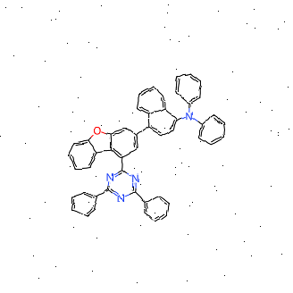 c1ccc(-c2nc(-c3ccccc3)nc(-c3cc(-c4ccc(N(c5ccccc5)c5ccccc5)c5ccccc45)cc4oc5ccccc5c34)n2)cc1